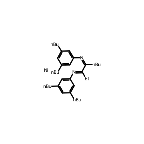 CCCCC(=Nc1cc(CCCC)cc(CCCC)c1)C(CC)=Nc1cc(CCCC)cc(CCCC)c1.[Ni]